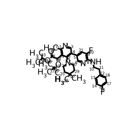 Cc1ncc(-c2cnc(NCCc3ccc(F)cc3)c(F)c2)c(N2CCC(C)(C)CC2)c1[C@H](OC(C)(C)C)C(=O)OC(C)C